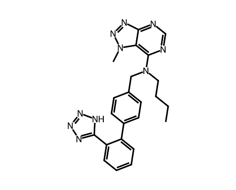 CCCCN(Cc1ccc(-c2ccccc2-c2nnn[nH]2)cc1)c1ncnc2nnn(C)c12